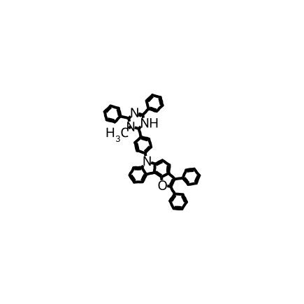 CN1C(c2ccccc2)N=C(c2ccccc2)NC1c1ccc(-n2c3ccccc3c3c4oc(-c5ccccc5)c(-c5ccccc5)c4ccc32)cc1